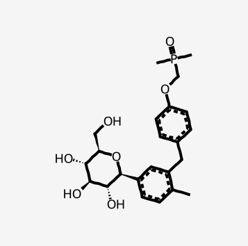 Cc1ccc([C@@H]2O[C@H](CO)[C@@H](O)[C@H](O)[C@H]2O)cc1Cc1ccc(OCP(C)(C)=O)cc1